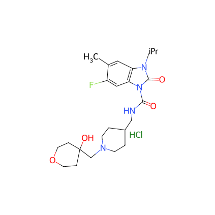 Cc1cc2c(cc1F)n(C(=O)NCC1CCN(CC3(O)CCOCC3)CC1)c(=O)n2C(C)C.Cl